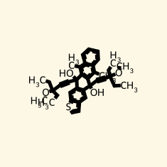 CCC(C#CC1(O)c2cc3ccsc3cc2C(O)(C#CC(CC)(CC)OC)c2c1c(C)c1ccccc1c2C)(CC)OC